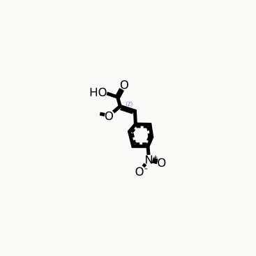 CO/C(=C\c1ccc([N+](=O)[O-])cc1)C(=O)O